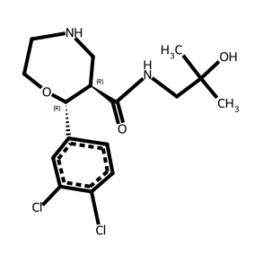 CC(C)(O)CNC(=O)[C@@H]1CNCCO[C@H]1c1ccc(Cl)c(Cl)c1